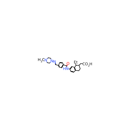 CCC1c2cc(NC(=O)c3ccc(C=NN4CCN(C)CC4)cc3)ccc2CCC1CC(=O)O